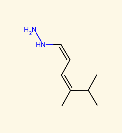 C/C(=C/C=C\NN)C(C)C